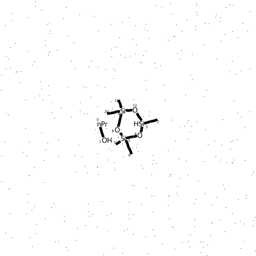 CCCO.C[SiH]1O[Si](C)(C)O[Si](C)(C)O1